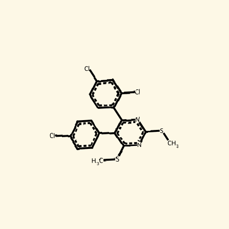 CSc1nc(SC)c(-c2ccc(Cl)cc2)c(-c2ccc(Cl)cc2Cl)n1